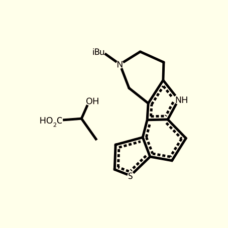 CC(O)C(=O)O.CCC(C)N1CCc2[nH]c3ccc4sccc4c3c2C1